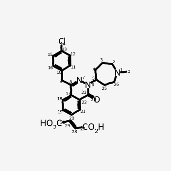 CN1CCCC(n2nc(Cc3ccc(Cl)cc3)c3ccccc3c2=O)CC1.O=C(O)/C=C/C(=O)O